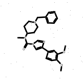 COc1ccc(-c2cn(C(=O)N(C)C3CCN(Cc4ccccc4)CC3)cn2)cc1OC